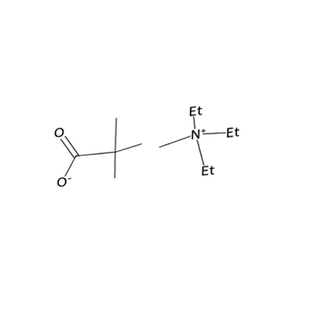 CC(C)(C)C(=O)[O-].CC[N+](C)(CC)CC